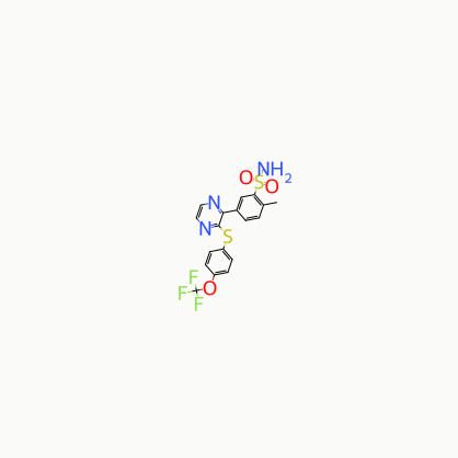 Cc1ccc(-c2nccnc2Sc2ccc(OC(F)(F)F)cc2)cc1S(N)(=O)=O